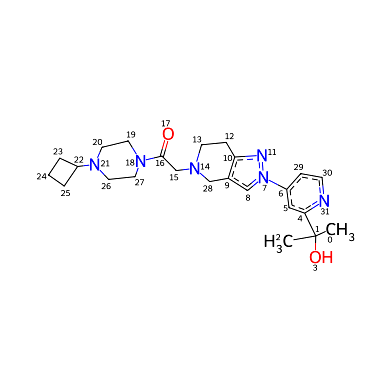 CC(C)(O)c1cc(-n2cc3c(n2)CCN(CC(=O)N2CCN(C4CCC4)CC2)C3)ccn1